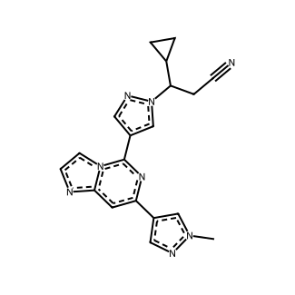 Cn1cc(-c2cc3nccn3c(-c3cnn(C(CC#N)C4CC4)c3)n2)cn1